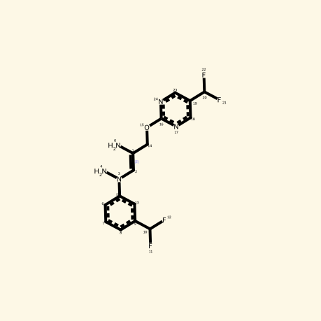 N/C(=C\N(N)c1cccc(C(F)F)c1)COc1ncc(C(F)F)cn1